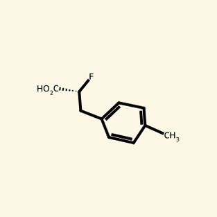 Cc1ccc(C[C@@H](F)C(=O)O)cc1